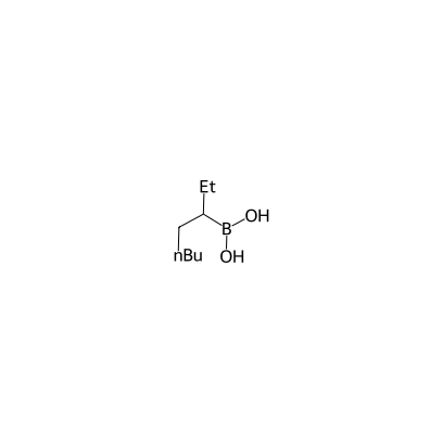 CCCCCC(CC)B(O)O